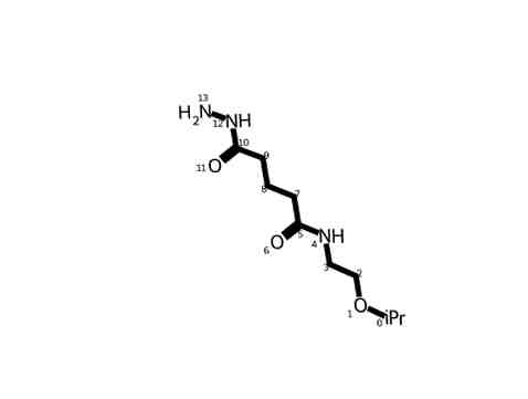 CC(C)OCCNC(=O)CCCC(=O)NN